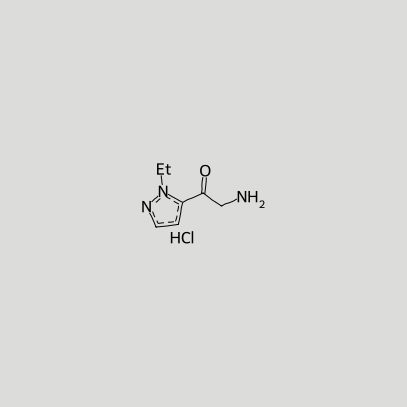 CCn1nccc1C(=O)CN.Cl